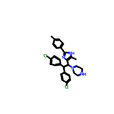 Cc1ccc(-c2nc(C(C(c3ccc(Cl)cc3)c3ccc(Cl)cc3)N3CCNCC3)c(C)[nH]2)cc1